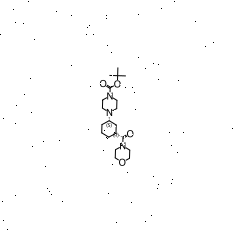 CC(C)(C)OC(=O)N1CCN([C@H]2CCC[C@@H](C(=O)N3CCOCC3)C2)CC1